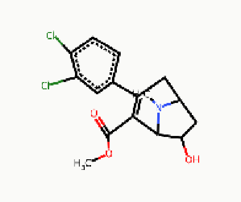 COC(=O)C1=C(c2ccc(Cl)c(Cl)c2)CC2CC(O)C1N2C